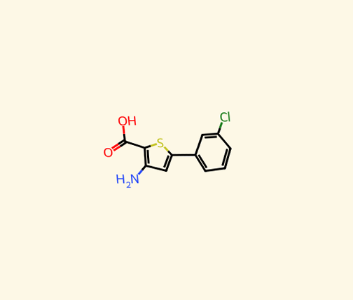 Nc1cc(-c2cccc(Cl)c2)sc1C(=O)O